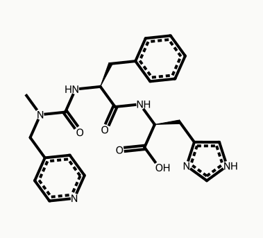 CN(Cc1ccncc1)C(=O)N[C@@H](Cc1ccccc1)C(=O)N[C@@H](Cc1c[nH]cn1)C(=O)O